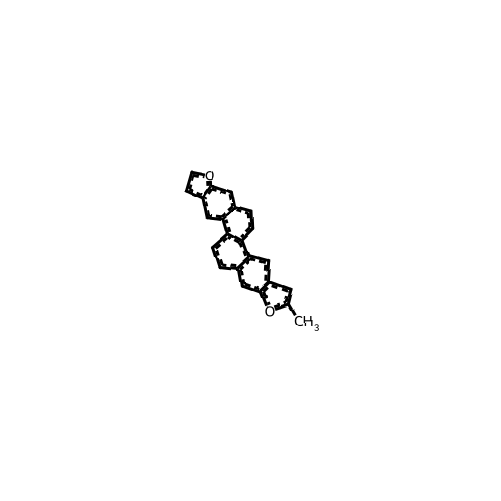 Cc1cc2cc3c(ccc4c5cc6ccoc6cc5ccc34)cc2o1